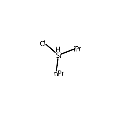 CCC[SiH](Cl)C(C)C